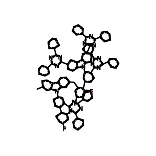 Cc1ccc2c3ccc(Cc4cc(F)cc(F)c4-c4ccc(-c5nc(-c6ccccc6)nc(-c6ccccc6)n5)c(-n5c6ccc(-c7nc(-c8ccccc8)nc(-c8ccccc8)n7)cc6c6cc(-c7nc(-c8ccccc8)nc(-c8ccccc8)n7)ccc65)c4)cc3n(-c3ccc(-c4ccc(F)cc4F)c(-c4nc(-c5ccccc5)nc(-c5ccccc5)n4)c3)c2c1